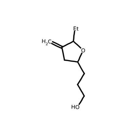 C=C1CC(CCCO)OC1CC